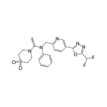 O=S1(=O)CCN(C(=S)N(Cc2ccc(-c3nnc(C(F)F)o3)cn2)c2ccccc2)CC1